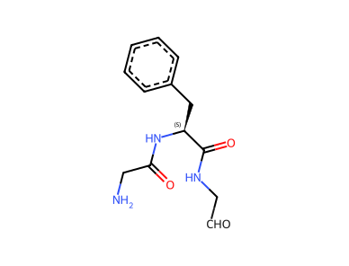 NCC(=O)N[C@@H](Cc1ccccc1)C(=O)NCC=O